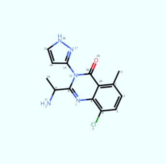 Cc1ccc(Cl)c2nc(C(C)N)n(-c3cc[nH]n3)c(=O)c12